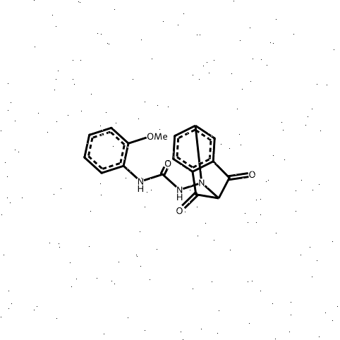 COc1ccccc1NC(=O)NN1c2ccc3c(c2)C(=O)C1C3=O